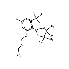 CCOCOc1cc(Cl)cc(C(F)(F)F)c1B1OC(C)(C)C(C)(C)O1